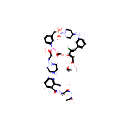 CC(C)(C)OC(=O)c1sc(-c2cccc(NC3CCN(S(=O)(=O)Cc4cccc(NC(=O)CCN5CCC(Nc6cccc7c6CN(C6CCC(=O)NC6=O)C7=O)CC5)c4)CC3)c2)c(Cl)c1OCC(=O)O